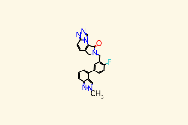 Cn1cc2c(-c3ccc(F)c(CN4Cc5ccc6nncn6c5C4=O)c3)cccc2n1